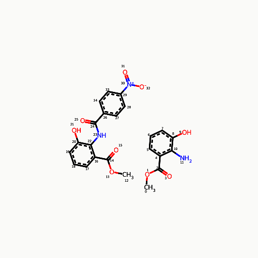 COC(=O)c1cccc(O)c1N.COC(=O)c1cccc(O)c1NC(=O)c1ccc([N+](=O)[O-])cc1